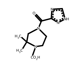 CC1(C)CN(C(=O)c2nc[nH]n2)CCN1C(=O)O